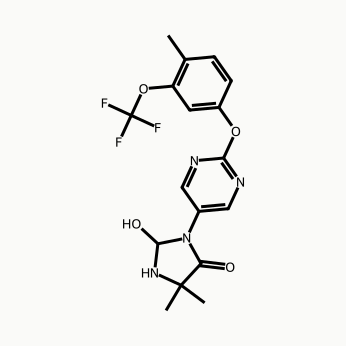 Cc1ccc(Oc2ncc(N3C(=O)C(C)(C)NC3O)cn2)cc1OC(F)(F)F